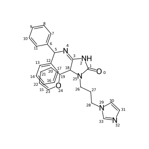 O=C1N/C(=N/C(c2ccccc2)c2ccccc2)C(C2CCC=CO2)N1CCCn1ccnc1